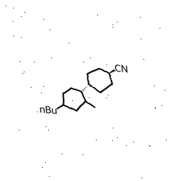 CCCCC1CCC([C@H]2CC[C@H](C#N)CC2)C(C)C1